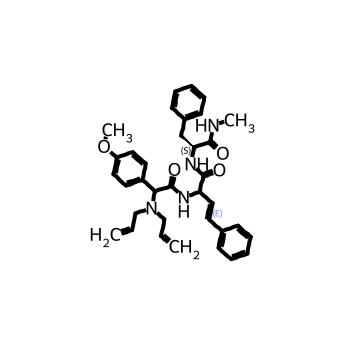 C=CCN(CC=C)C(C(=O)NC(/C=C/c1ccccc1)C(=O)N[C@@H](Cc1ccccc1)C(=O)NC)c1ccc(OC)cc1